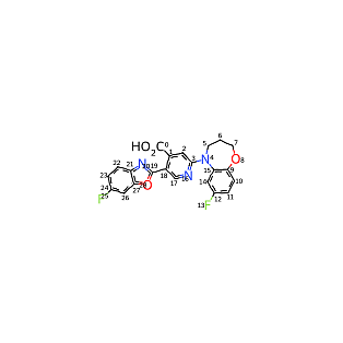 O=C(O)c1cc(N2CCCOc3ccc(F)cc32)ncc1-c1nc2ccc(F)cc2o1